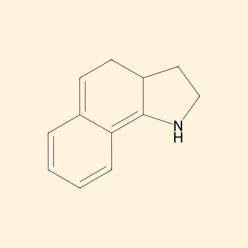 C1=c2ccccc2=C2NCCC2C1